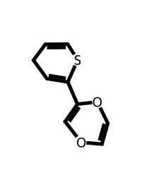 C1=CSC(C2=COC=CO2)=CC1